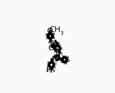 COc1ccc(CN2CCC3(CCN(C[C@H]4CN(CC5CCC(F)(F)CC5)C[C@@H]4c4ccccc4)CC3)C2=O)cc1